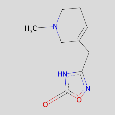 CN1CCC=C(Cc2noc(=O)[nH]2)C1